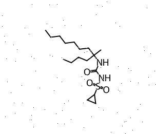 CCCCCCCC(C)(CCCC)NC(=O)NS(=O)(=O)C1CC1